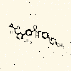 Cc1ccc(NC(=O)C2CC2)cc1-c1ccc(C(=O)NCc2ccc(N3CCN(C)CC3)cc2)cc1